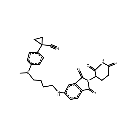 CN(CCCCNc1ccc2c(c1)C(=O)N(C1CCC(=O)NC1=O)C2=O)c1ccc(C2(C#N)CC2)cc1